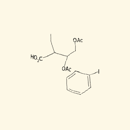 CC(=O)OCC(OC(C)=O)C(C)C(=O)O.Ic1ccccc1